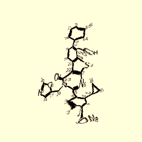 COc1ccc(-c2nc3sc4c(O)c(-c5ccccc5)ccc4c3c(=O)n2Cc2cnco2)c(C2CC2)c1